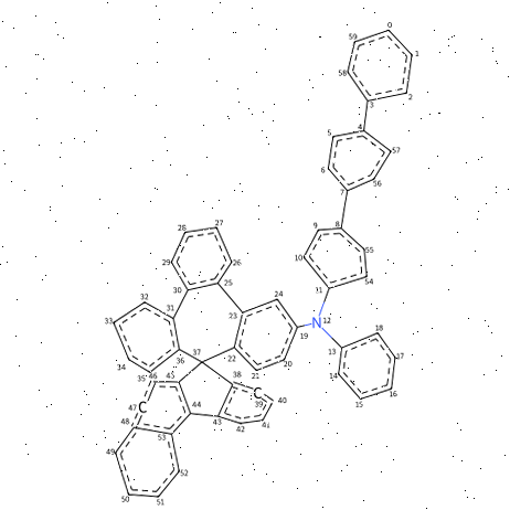 c1ccc(-c2ccc(-c3ccc(N(c4ccccc4)c4ccc5c(c4)-c4ccccc4-c4ccccc4C54c5ccccc5-c5c4ccc4ccccc54)cc3)cc2)cc1